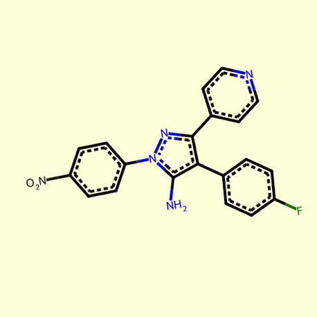 Nc1c(-c2ccc(F)cc2)c(-c2ccncc2)nn1-c1ccc([N+](=O)[O-])cc1